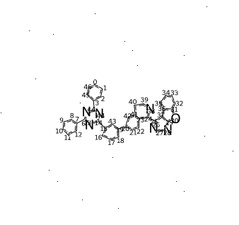 c1ccc(-c2nc(-c3ccccc3)nc(-c3cccc(-c4ccc5c(-c6ncnc7oc8ccccc8c67)nccc5c4)c3)n2)cc1